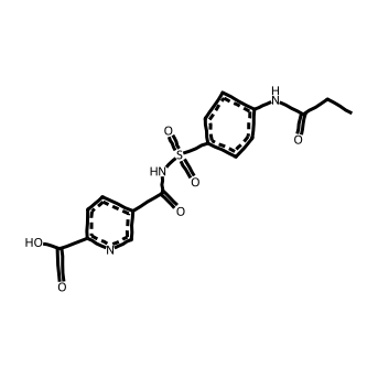 CCC(=O)Nc1ccc(S(=O)(=O)NC(=O)c2ccc(C(=O)O)nc2)cc1